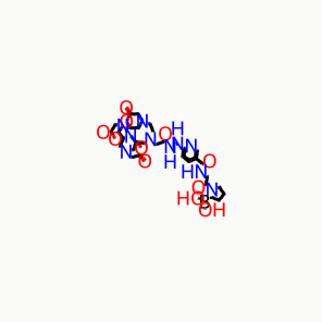 O=C(CN1CCN2CC(=O)OC3(C2)N2CC(=O)OC4(CN5CC(=O)OC(C1)(C5)N43)C2)NNc1ccc(C(=O)NCC(=O)N2CCC[C@H]2B(O)O)cn1